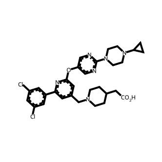 O=C(O)CC1CCN(Cc2cc(Oc3cnc(N4CCN(C5CC5)CC4)nc3)nc(-c3cc(Cl)cc(Cl)c3)c2)CC1